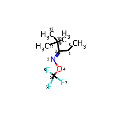 CC/C(=N\OC(F)(F)F)C(C)(C)C